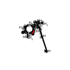 CCCC[C@H](NC(=O)[C@H](CO)NC(=O)[C@H](CN)NC(=O)[C@H](CCC(N)=O)NC(=O)[C@@H](NC(=O)CNC(=O)COCCOCCNC(=O)CCCCCCCCCCCCCCCc1nnn[nH]1)[C@@H](C)O)C(=O)N[C@H]1CCC(=O)NCCCC[C@@H](C(N)=O)NC(=O)[C@H](Cc2c[nH]c3ccccc23)NC(=O)[C@H](CCCNC(=N)N)NC(=O)[C@@H](Cc2ccccc2)NC(=O)[C@@H]2C[C@@H](O)CN2C1=O